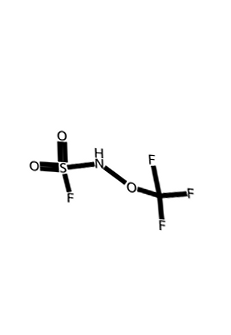 O=S(=O)(F)NOC(F)(F)F